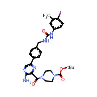 CC(C)(C)OC(=O)N1CCN(C(=O)c2nc(-c3ccc(CNC(=O)Nc4ccc(I)c(C(F)(F)F)c4)cc3)cnc2N)CC1